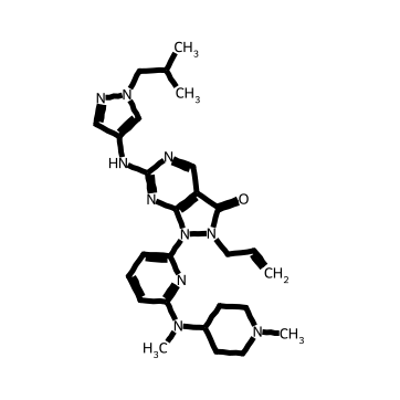 C=CCn1c(=O)c2cnc(Nc3cnn(CC(C)C)c3)nc2n1-c1cccc(N(C)C2CCN(C)CC2)n1